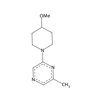 COC1CCN(c2cncc(C)n2)CC1